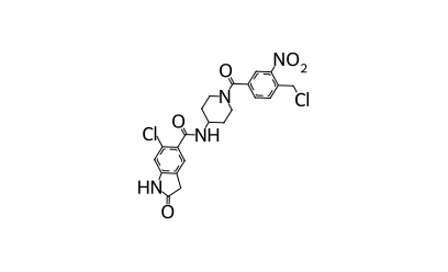 O=C1Cc2cc(C(=O)NC3CCN(C(=O)c4ccc(CCl)c([N+](=O)[O-])c4)CC3)c(Cl)cc2N1